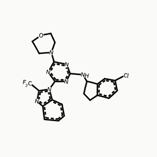 FC(F)(F)c1nc2ccccc2n1-c1nc(NC2CCc3ccc(Cl)cc32)nc(N2CCOCC2)n1